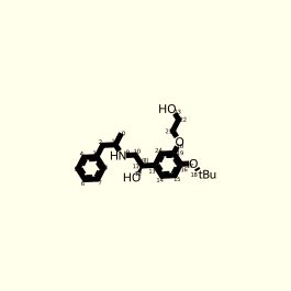 CC(Cc1ccccc1)NC[C@H](O)c1ccc(OC(C)(C)C)c(OCCO)c1